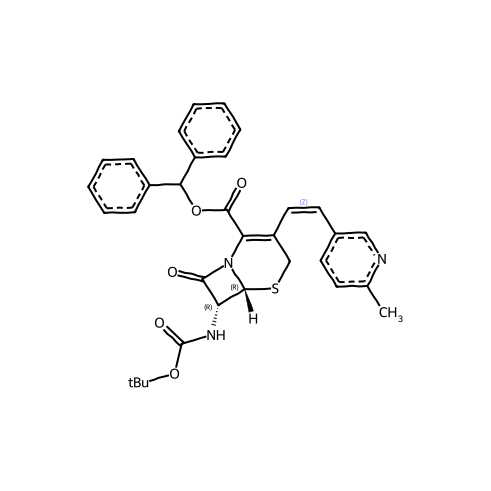 Cc1ccc(/C=C\C2=C(C(=O)OC(c3ccccc3)c3ccccc3)N3C(=O)[C@@H](NC(=O)OC(C)(C)C)[C@H]3SC2)cn1